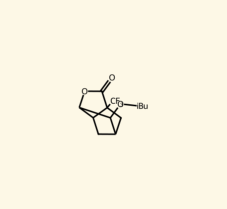 CCC(C)OC1C2CC3C1OC(=O)C3(C(F)(F)F)C2